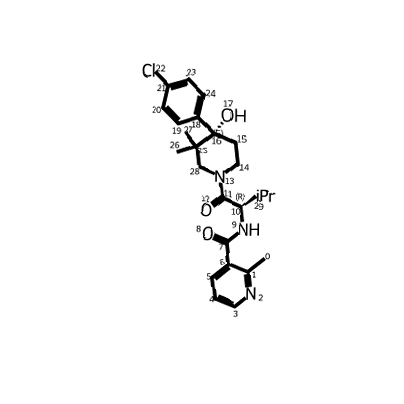 Cc1ncccc1C(=O)N[C@@H](C(=O)N1CC[C@](O)(c2ccc(Cl)cc2)C(C)(C)C1)C(C)C